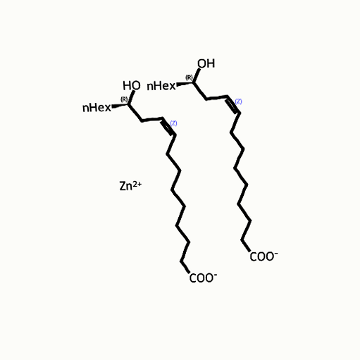 CCCCCC[C@@H](O)C/C=C\CCCCCCCC(=O)[O-].CCCCCC[C@@H](O)C/C=C\CCCCCCCC(=O)[O-].[Zn+2]